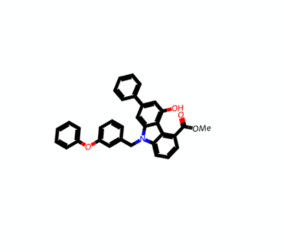 COC(=O)c1cccc2c1c1c(O)cc(-c3ccccc3)cc1n2Cc1cccc(Oc2ccccc2)c1